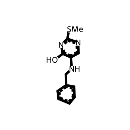 CSc1ncc(NCc2ccccc2)c(O)n1